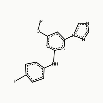 CC(C)Oc1cc(-n2cncn2)nc(Nc2ccc(F)cc2)n1